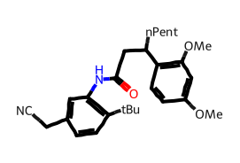 CCCCCC(CC(=O)Nc1cc(CC#N)ccc1C(C)(C)C)c1ccc(OC)cc1OC